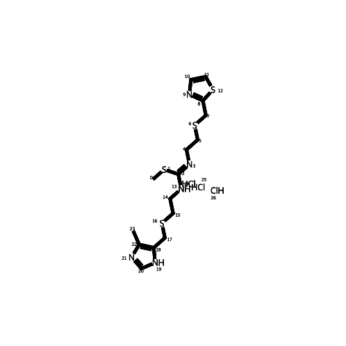 CS/C(=N\CCSCc1nccs1)NCCSCc1[nH]cnc1C.Cl.Cl.Cl